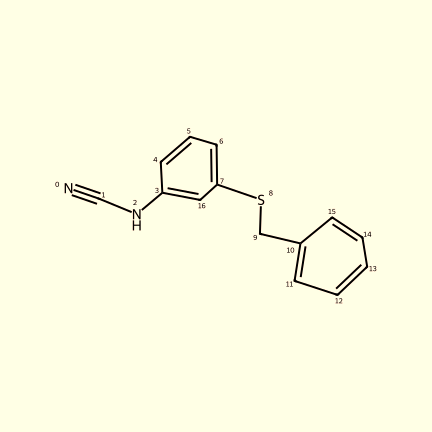 N#CNc1cccc(SCc2ccccc2)c1